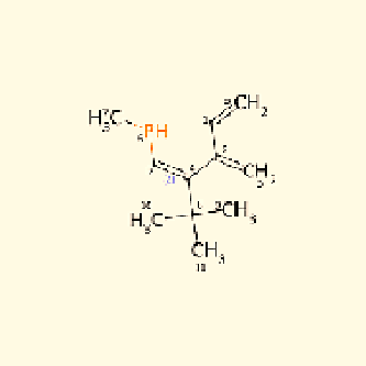 C=CC(=C)/C(=C\PC)C(C)(C)C